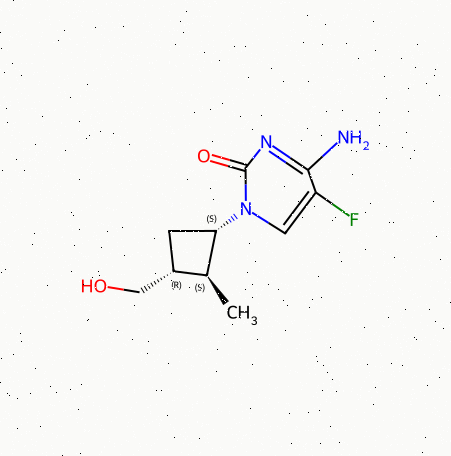 C[C@H]1[C@H](CO)C[C@@H]1n1cc(F)c(N)nc1=O